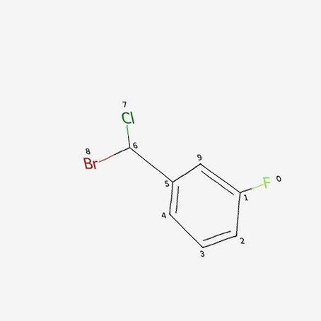 Fc1cccc(C(Cl)Br)c1